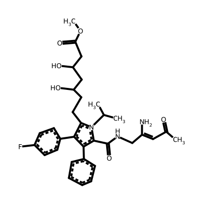 COC(=O)CC(O)CC(O)CCc1c(-c2ccc(F)cc2)c(-c2ccccc2)c(C(=O)NC/C(N)=C/C(C)=O)n1C(C)C